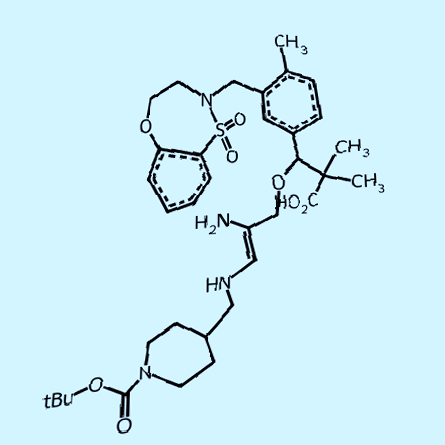 Cc1ccc(C(OC/C(N)=C/NCC2CCN(C(=O)OC(C)(C)C)CC2)C(C)(C)C(=O)O)cc1CN1CCOc2ccccc2S1(=O)=O